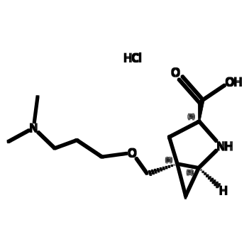 CN(C)CCCOC[C@]12C[C@@H](C(=O)O)N[C@H]1C2.Cl